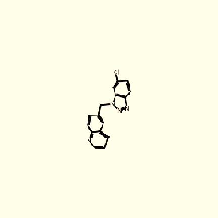 Clc1ccc2nnn(Cc3ccc4ncccc4c3)c2c1